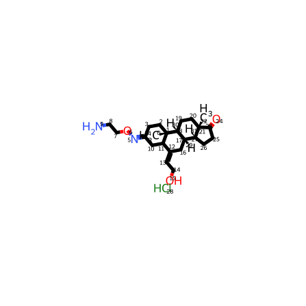 C[C@]12CCC(=NOCCN)CC1/C(=C/CO)C[C@@H]1[C@@H]2CC[C@]2(C)C(=O)CC[C@@H]12.Cl